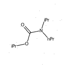 CCCN(C(=O)OC(C)C)C(C)C